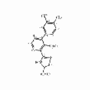 COc1c(C2=NOC(C=O)N2)ncnc1-c1ccc(Cl)c(Cl)c1